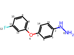 NNc1ccc(Oc2cccc(F)c2)cc1